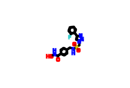 O=C(NO)c1ccc(CNS(=O)(=O)Cn2cc(-c3ccccc3F)nn2)cc1